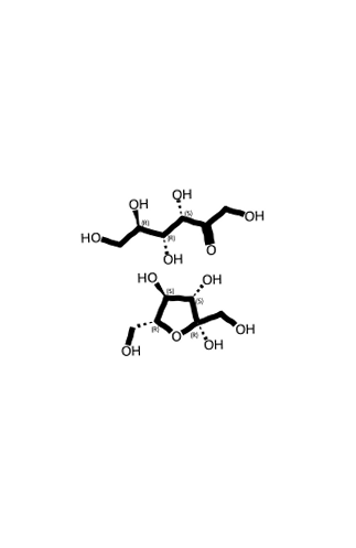 O=C(CO)[C@@H](O)[C@H](O)[C@H](O)CO.OC[C@H]1O[C@](O)(CO)[C@@H](O)[C@@H]1O